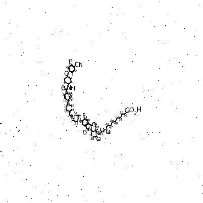 N#Cc1ccc(OC2CCC(NC(=O)c3ccc(N4CCC(CN5CCN(c6cc7c(cc6F)C(=O)N(C6CCC(=O)N(COC(=O)CCCCCCCCC(=O)O)C6=O)C7=O)CC5)CC4)nn3)CC2)cc1Cl